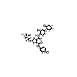 CC(C)(NC1CC(C(=O)Nc2ccc(Cl)cc2)C(C(=O)Nc2ccc(-n3ccccc3=O)cc2F)C1)S(N)(=O)=O